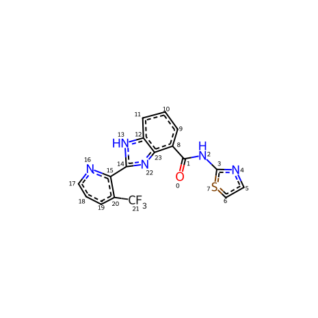 O=C(Nc1nccs1)c1cccc2[nH]c(-c3ncccc3C(F)(F)F)nc12